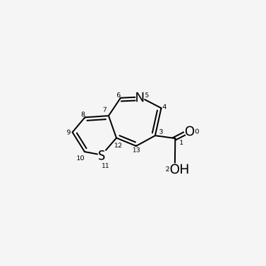 O=C(O)C1=CN=CC2=CC=CSC2=C1